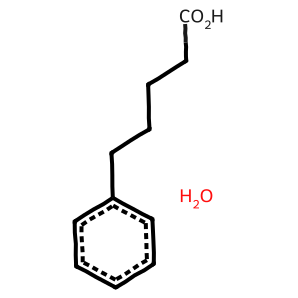 O.O=C(O)CCCCc1ccccc1